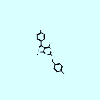 Cc1ccc(CNc2nc(N)c3c(-c4ccc(F)cc4)nn(C)c3n2)cc1